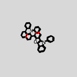 c1ccc(-c2ccccc2N(c2ccccc2)c2ccccc2-c2cccc3c2oc2c4ccccc4n(-c4ccccc4)c32)cc1